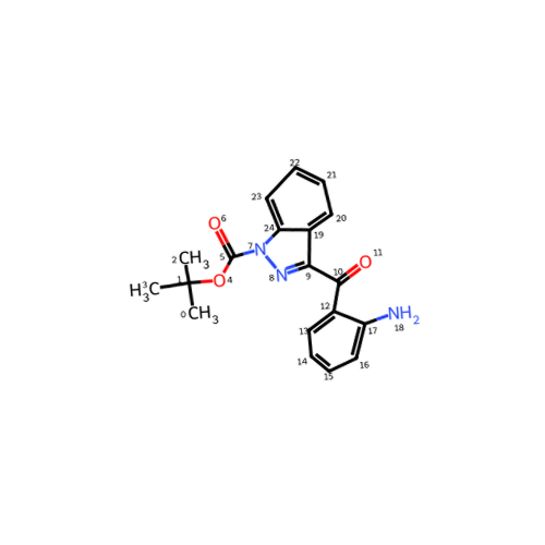 CC(C)(C)OC(=O)n1nc(C(=O)c2ccccc2N)c2ccccc21